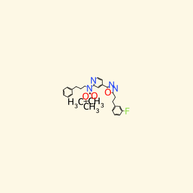 CC(C)(C)OC(=O)N(CCCc1ccccc1)c1cc(-c2nnc(CCc3cccc(F)c3)o2)ccn1